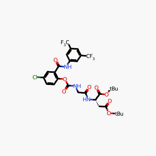 CC(C)(C)OC(=O)C[C@H](NC(=O)CNC(=O)Oc1ccc(Cl)cc1C(=O)Nc1cc(C(F)(F)F)cc(C(F)(F)F)c1)C(=O)OC(C)(C)C